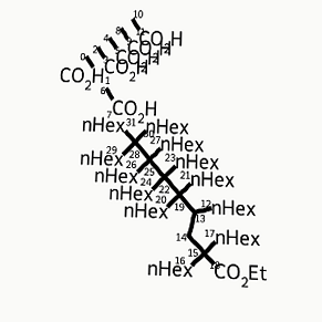 CC(=O)O.CC(=O)O.CC(=O)O.CC(=O)O.CC(=O)O.CC(=O)O.CCCCCCC(CC(CCCCCC)(CCCCCC)C(=O)OCC)C(CCCCCC)(CCCCCC)C(CCCCCC)(CCCCCC)C(CCCCCC)(CCCCCC)C(CCCCCC)(CCCCCC)CCCCCC